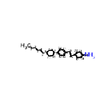 CCCCCC[C@H]1CC[C@H](c2ccc(CCc3ccc(N)cc3)cc2)CC1